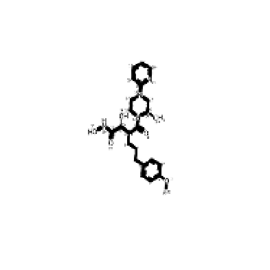 CCOc1ccc(CCC[C@H](C(=O)N2CCN(c3ccccn3)C[C@H]2C)[C@H](O)C(=O)NO)cc1